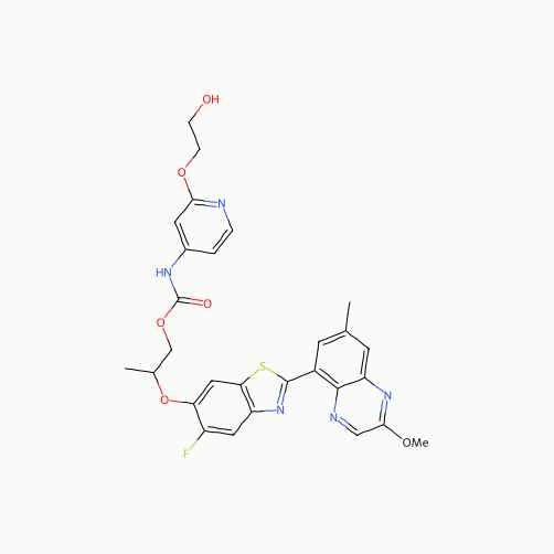 COc1cnc2c(-c3nc4cc(F)c(OC(C)COC(=O)Nc5ccnc(OCCO)c5)cc4s3)cc(C)cc2n1